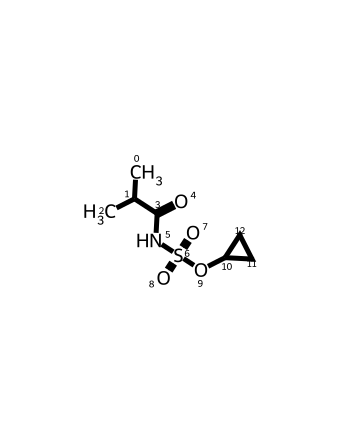 CC(C)C(=O)NS(=O)(=O)OC1CC1